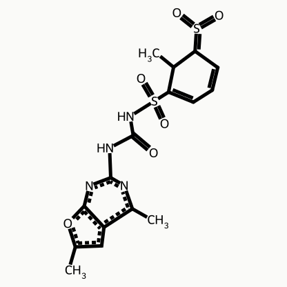 Cc1cc2c(C)nc(NC(=O)NS(=O)(=O)C3=CC=CC(=S(=O)=O)C3C)nc2o1